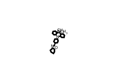 C[Si]1(C)c2ccccc2N(c2ccc(-c3nc4ccccc4o3)cc2)c2ccccc21